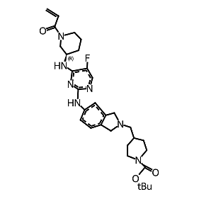 C=CC(=O)N1CCC[C@@H](Nc2nc(Nc3ccc4c(c3)CN(CC3CCN(C(=O)OC(C)(C)C)CC3)C4)ncc2F)C1